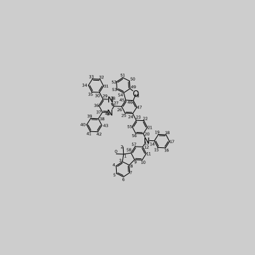 CC1(C)c2ccccc2-c2ccc(N(c3ccccc3)c3ccc(-c4cc(-c5nc(-c6ccccc6)cc(-c6ccccc6)n5)c5c(c4)oc4ccccc45)cc3)cc21